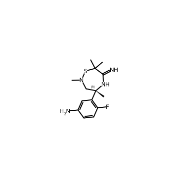 CN1C[C@@](C)(c2cc(N)ccc2F)NC(=N)C(C)(C)S1